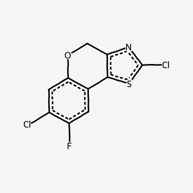 Fc1cc2c(cc1Cl)OCc1nc(Cl)sc1-2